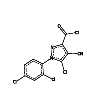 N#Cc1c(C(=O)Cl)nn(-c2ccc(Cl)cc2Cl)c1Cl